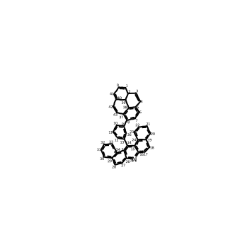 C1=CC2C=Cc3ccc(-c4cccc(-c5c6c(ccc7ccccc76)nc6ccc7ccccc7c56)c4)c4c3C2C(=C1)C=C4